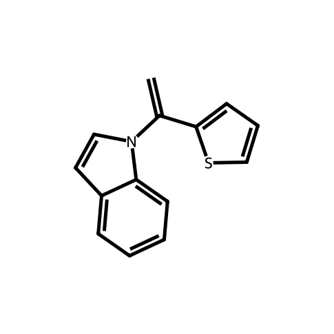 C=C(c1cccs1)n1ccc2ccccc21